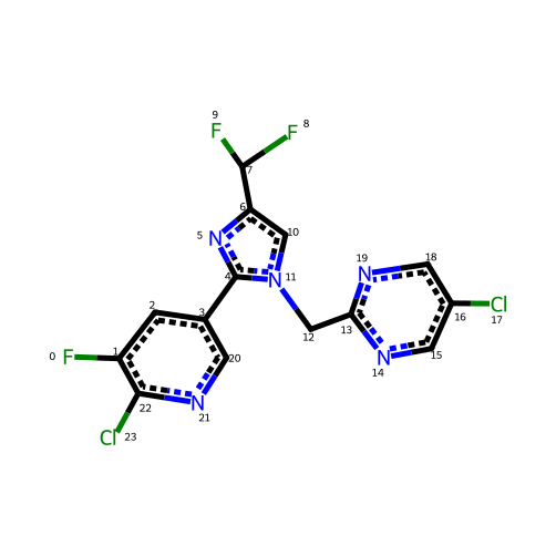 Fc1cc(-c2nc(C(F)F)cn2Cc2ncc(Cl)cn2)cnc1Cl